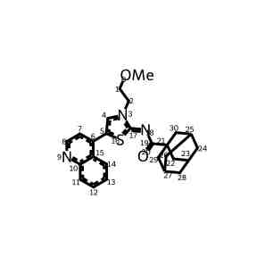 COCCn1cc(-c2ccnc3ccccc23)s/c1=N\C(=O)C12CC3CC(CC(C3)C1)C2